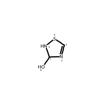 O[C]1N=CSN1